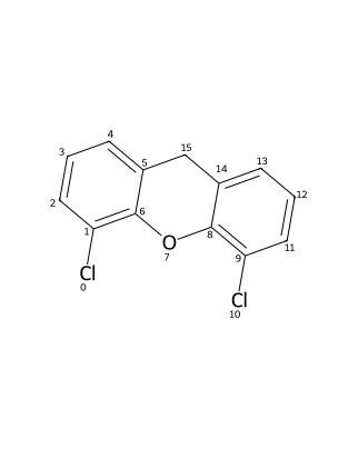 Clc1cccc2c1Oc1c(Cl)cccc1C2